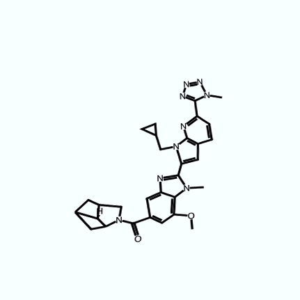 COc1cc(C(=O)N2CC3CC4CC2[C@H]43)cc2nc(-c3cc4ccc(-c5nnnn5C)nc4n3CC3CC3)n(C)c12